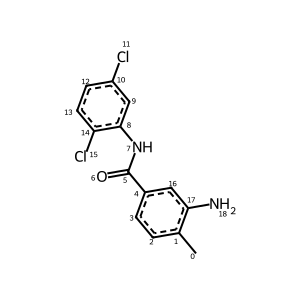 Cc1ccc(C(=O)Nc2cc(Cl)ccc2Cl)cc1N